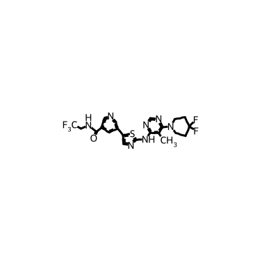 Cc1c(Nc2ncc(-c3cncc(C(=O)NCC(F)(F)F)c3)s2)ncnc1N1CCC(F)(F)CC1